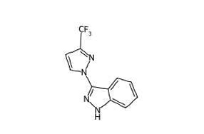 FC(F)(F)c1ccn(-c2n[nH]c3ccccc23)n1